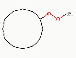 CC(C)(C)OOC1CCCCCCCCCCC1